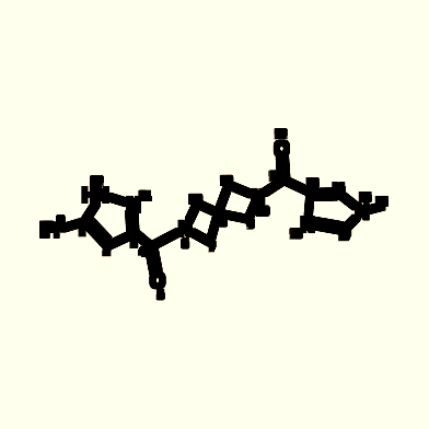 CC(C)c1cc(C(=O)N2CC3(CN(C(=O)c4cn(C)cn4)C3)C2)n[nH]1